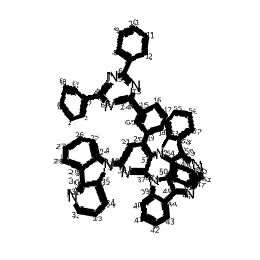 c1ccc(-c2nc(-c3ccccc3)nc(-c3cccc(-c4cc(-n5c6ccccc6c6ncccc65)nc(-n5c6ccccc6c6ncccc65)c4-n4c5ccccc5c5ncccc54)c3)n2)cc1